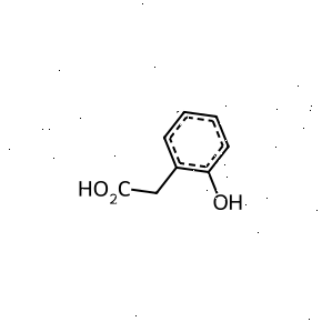 O=C(O)Cc1c[c]ccc1O